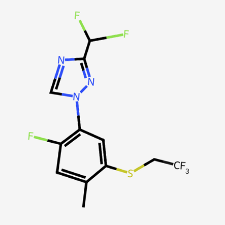 Cc1cc(F)c(-n2cnc(C(F)F)n2)cc1SCC(F)(F)F